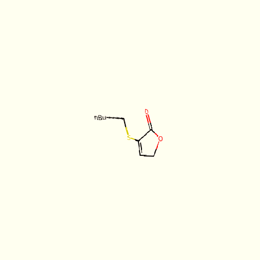 CCCCCSC1=CCOC1=O